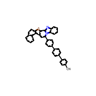 N#Cc1ccc(-c2ccc(-c3ccc(-c4cc5c(sc6ccc7ccccc7c65)c5nc6ccccc6n45)cc3)cc2)cc1